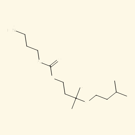 CC(C)CCOC(C)(C)CCOC(=O)NCCCN